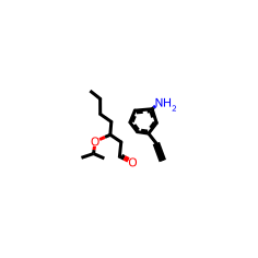 C#Cc1cccc(N)c1.CCCCC(CC=O)OC(C)C